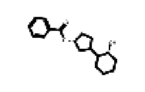 O=C(O[C@@H]1CCC(C2CCCC[C@@H]2O)C1)c1ccccc1